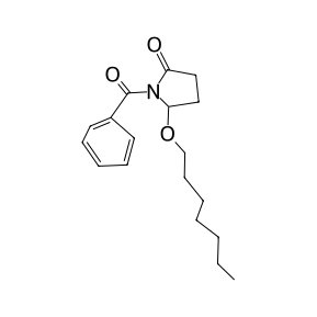 CCCCCCCOC1CCC(=O)N1C(=O)c1ccccc1